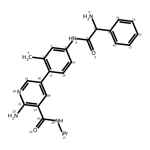 Cc1cc(NC(=O)C(N)c2ccccc2)ccc1-c1cnc(N)c(C(=O)NC(C)C)c1